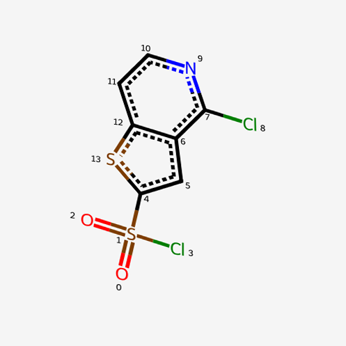 O=S(=O)(Cl)c1cc2c(Cl)nccc2s1